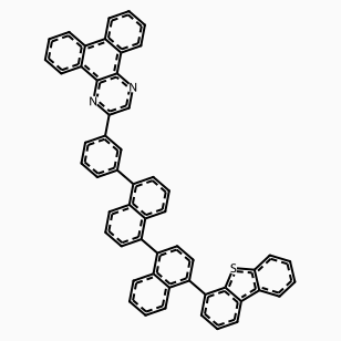 c1cc(-c2cnc3c4ccccc4c4ccccc4c3n2)cc(-c2cccc3c(-c4ccc(-c5cccc6c5sc5ccccc56)c5ccccc45)cccc23)c1